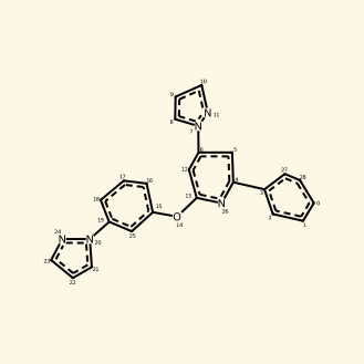 c1ccc(-c2cc(-n3cccn3)cc(Oc3cccc(-n4cccn4)c3)n2)cc1